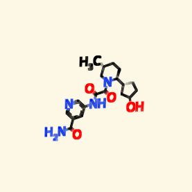 C[C@@H]1CC[C@@H]([C@@H]2CCC(O)C2)N(C(=O)C(=O)Nc2cncc(C(N)=O)c2)C1